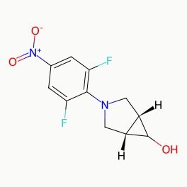 O=[N+]([O-])c1cc(F)c(N2C[C@@H]3C(O)[C@@H]3C2)c(F)c1